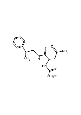 CCCCCCCC(=O)NC(CC(N)=O)C(=O)NCC(C)c1ccccc1